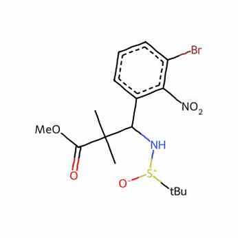 COC(=O)C(C)(C)C(N[S+]([O-])C(C)(C)C)c1cccc(Br)c1[N+](=O)[O-]